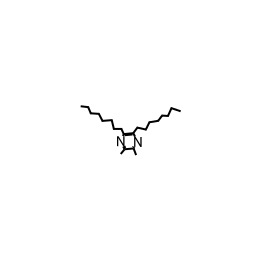 CCCCCCCCc1nc(C)c(C)nc1CCCCCCCC